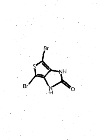 O=c1[nH]c2c(Br)sc(Br)c2[nH]1